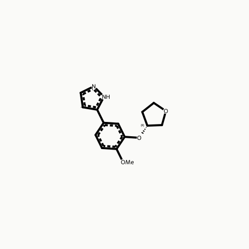 COc1ccc(-c2[c]cn[nH]2)cc1O[C@@H]1CCOC1